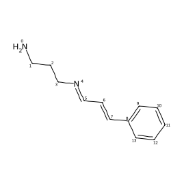 NCCCN=CC=Cc1ccccc1